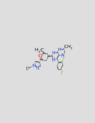 Cc1cnc2c(-c3ccc(F)cc3F)nc([C@@H]3C[C@@H](C)O[C@@H](c4cnn(C5CC5)c4)C3)nc2n1